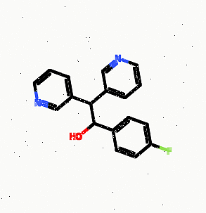 OC(c1ccc(F)cc1)C(c1cccnc1)c1cccnc1